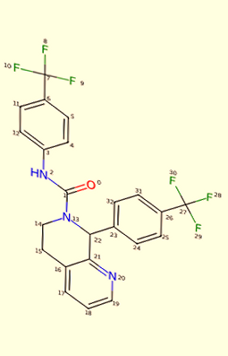 O=C(Nc1ccc(C(F)(F)F)cc1)N1CCc2cccnc2C1c1ccc(C(F)(F)F)cc1